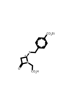 CCOC(=O)c1ccc(CS[C@@H]2CC(=O)N2CC(=O)O)cc1